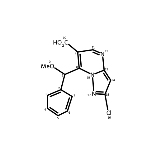 COC(c1ccccc1)c1c(C(=O)O)cnc2cc(Cl)nn12